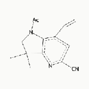 C=Cc1cc(C#N)nc2c1N(C(C)=O)CC2(C)C